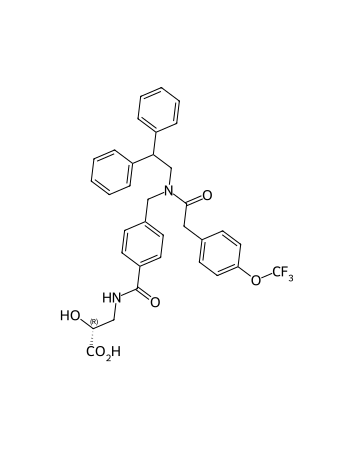 O=C(NC[C@@H](O)C(=O)O)c1ccc(CN(CC(c2ccccc2)c2ccccc2)C(=O)Cc2ccc(OC(F)(F)F)cc2)cc1